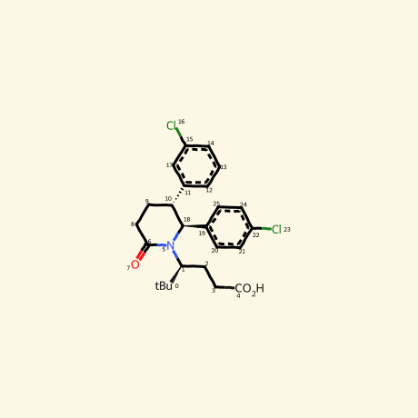 CC(C)(C)[C@H](CCC(=O)O)N1C(=O)CC[C@H](c2cccc(Cl)c2)[C@H]1c1ccc(Cl)cc1